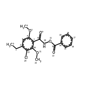 CCc1cc(OC)c(C(=O)NOC(=O)c2ccccc2)c(OC)c1Cl